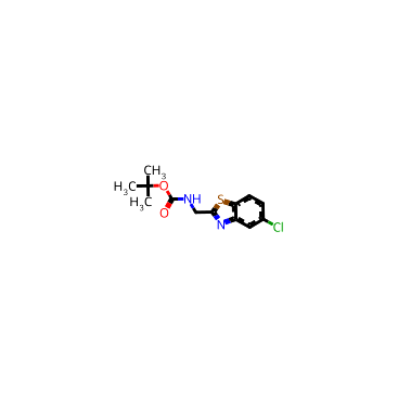 CC(C)(C)OC(=O)NCc1nc2cc(Cl)ccc2s1